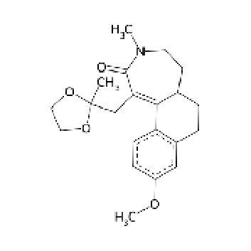 COc1ccc2c(c1)CCC1CCN(C)C(=O)C(CC3(C)OCCO3)=C21